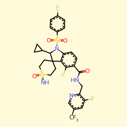 N=S1(=O)CCC2(CC1)c1c(ccc(C(=O)NCc3ncc(C(F)(F)F)cc3F)c1F)N(S(=O)(=O)c1ccc(F)cc1)C2C1CC1